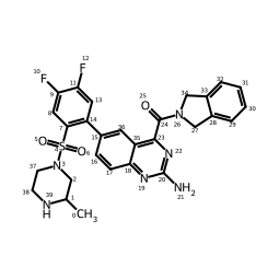 CC1CN(S(=O)(=O)c2cc(F)c(F)cc2-c2ccc3nc(N)nc(C(=O)N4Cc5ccccc5C4)c3c2)CCN1